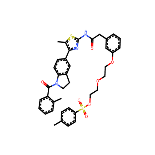 Cc1ccc(S(=O)(=O)OCCOCCOc2cccc(CC(=O)Nc3nc(-c4ccc5c(c4)CCN5C(=O)c4ccccc4C)c(C)s3)c2)cc1